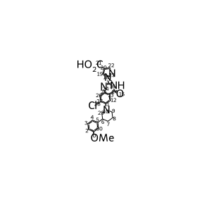 COc1cccc(C2CCCN(c3cc4c(=O)[nH]c(-n5cc(C(=O)O)cn5)nc4cc3Cl)C2)c1